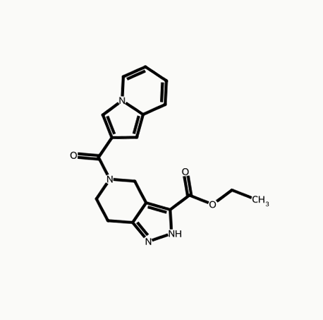 CCOC(=O)c1[nH]nc2c1CN(C(=O)c1cc3ccccn3c1)CC2